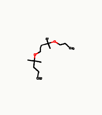 CCC(C)(CCOC(C)(C)CCC=O)OCCC=O